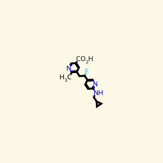 Cc1ncc(C(=O)O)cc1CC(F)c1ccc(NCC2CC2)nc1